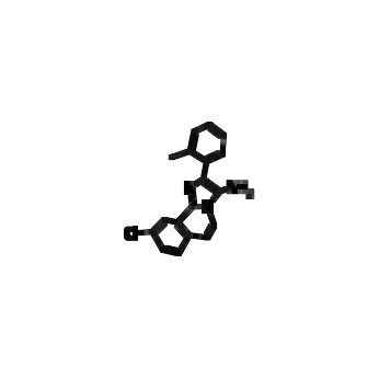 Cc1ccccc1-c1nc2c3cc(Cl)ccc3ccn2c1N